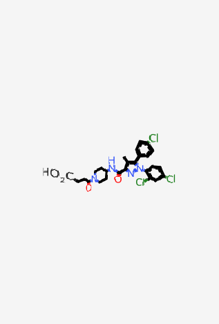 Cc1c(C(=O)NC2CCN(C(=O)CCC(=O)O)CC2)nn(-c2ccc(Cl)cc2Cl)c1-c1ccc(Cl)cc1